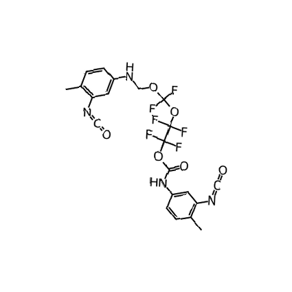 Cc1ccc(NCOC(F)(F)OC(F)(F)C(F)(F)OC(=O)Nc2ccc(C)c(N=C=O)c2)cc1N=C=O